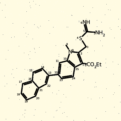 CCOC(=O)c1c(CSC(=N)N)n(C)c2cc(-c3ccc4ccccc4c3)ccc12